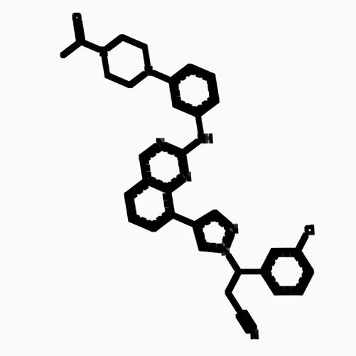 CC(=O)N1CCN(c2cccc(Nc3ncc4cccc(-c5cnn(C(CC#N)c6cccc(Cl)c6)c5)c4n3)c2)CC1